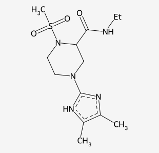 CCNC(=O)C1CN(c2nc(C)c(C)[nH]2)CCN1S(C)(=O)=O